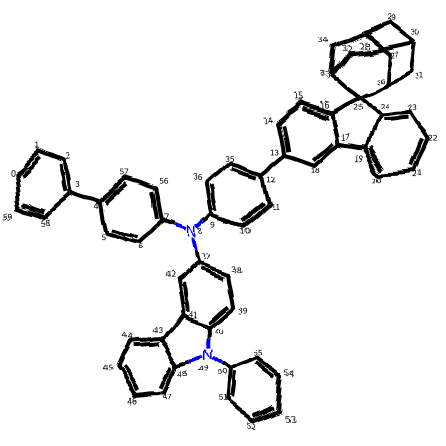 c1ccc(-c2ccc(N(c3ccc(-c4ccc5c(c4)-c4ccccc4C54C5CC6CC(C5)CC4C6)cc3)c3ccc4c(c3)c3ccccc3n4-c3ccccc3)cc2)cc1